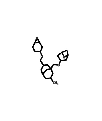 CC1CC2CC(COC3CCC4OC4C3)CC(COC3CC4CC(C3)O4)(C1)C2